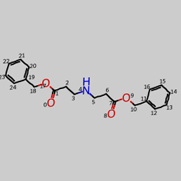 O=C(CCNCCC(=O)OCc1ccccc1)OCc1ccccc1